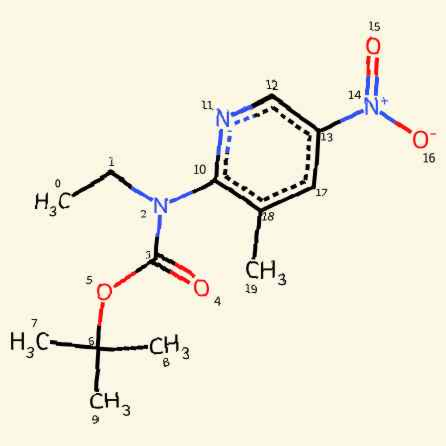 CCN(C(=O)OC(C)(C)C)c1ncc([N+](=O)[O-])cc1C